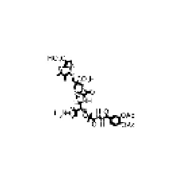 CC(=O)Oc1ccc(C(=O)NNC(=O)C(C)(C)ON=C(C(=O)NC2C(=O)N3CC(CSc4c(C)c(C)nc5c(C(=O)O)cnn45)(C(=O)O)CS[C@H]23)c2csc(N)n2)cc1OC(C)=O